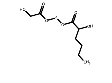 CCCCC(O)C(=O)OSOC(=O)CO